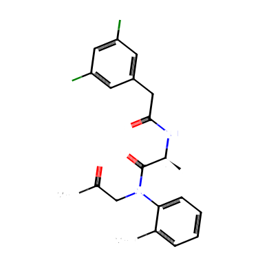 COC(=O)CN(C(=O)[C@H](C)NC(=O)Cc1cc(F)cc(F)c1)c1ccccc1OC